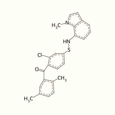 Cc1ccc(C)c(C(=O)c2ccc(SNc3cccc4ccn(C)c34)cc2Cl)c1